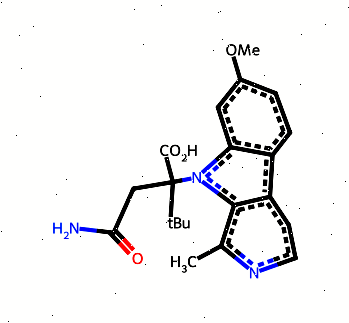 COc1ccc2c3ccnc(C)c3n(C(CC(N)=O)(C(=O)O)C(C)(C)C)c2c1